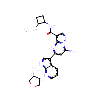 COC1CCC1NC(=O)c1cnn2c(N)cc(-c3cnc4n([C@@H]5COC[C@H]5OC)cccc3-4)nc12